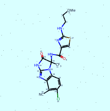 COCCNc1nc(C(=O)NC2(C(F)(F)F)C(=O)Nc3nc4c(C#N)c(Cl)ccc4n32)cs1